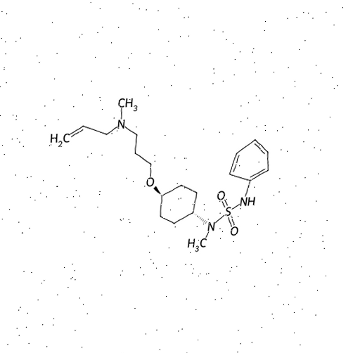 C=CCN(C)CCCO[C@H]1CC[C@H](N(C)S(=O)(=O)Nc2ccccc2)CC1